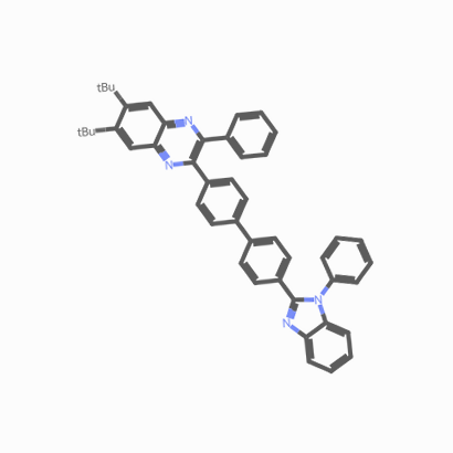 CC(C)(C)c1cc2nc(-c3ccccc3)c(-c3ccc(-c4ccc(-c5nc6ccccc6n5-c5ccccc5)cc4)cc3)nc2cc1C(C)(C)C